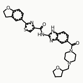 O=C(Nc1nc2cc(C(=O)N3CCN(CC4CCCO4)CC3)ccc2[nH]1)c1csc(-c2ccc3c(c2)CCO3)n1